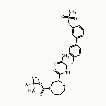 CC(C)(C)OC(=O)N1CCCO[C@H](C(=O)N[C@@H](Cc2ccc(-c3cccc(OS(C)(=O)=O)c3)cc2)C(N)=O)C1